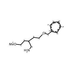 COCCC(CN)CCOCc1ccccc1